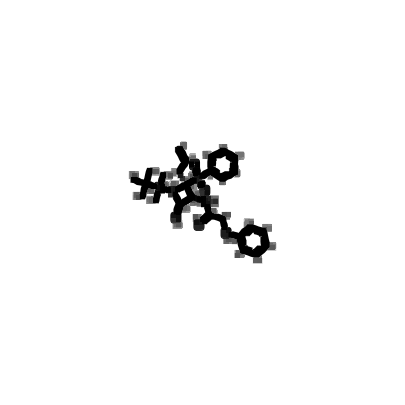 C=CC[C@]1(S(=O)(=O)c2ccccc2)[C@@H](NC(=O)COc2ccccc2)C(=O)N1[Si](C)(C)C(C)(C)C